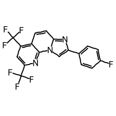 Fc1ccc(-c2cn3c(ccc4c(C(F)(F)F)cc(C(F)(F)F)nc43)n2)cc1